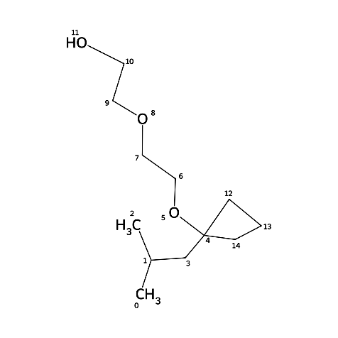 CC(C)CC1(OCCOCCO)CCC1